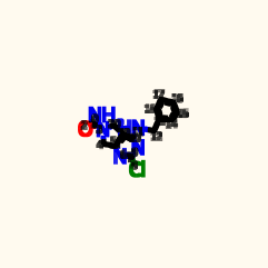 NC(=O)N1Cc2nc(Cl)nc(NCc3ccccc3)c2C1